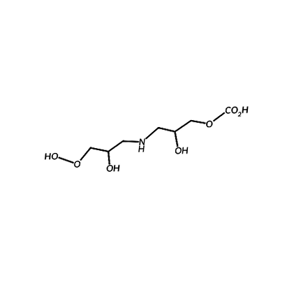 O=C(O)OCC(O)CNCC(O)COO